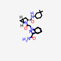 CC1(C)CCC[C@@H](NC(=O)[C@@H]2C[C@H]3C[C@H]3N2C(=O)Cn2nc(C(N)=O)c3ccccc32)C1